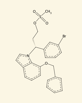 CS(=O)(=O)OCC[C@H](c1cccc(Br)c1)n1ccc2cccc(OCc3ccccc3)c21